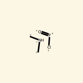 CNC.O=PCl